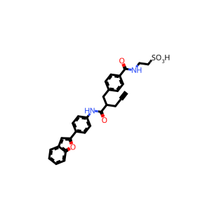 C#CCC(Cc1ccc(C(=O)NCCS(=O)(=O)O)cc1)C(=O)Nc1ccc(-c2cc3ccccc3o2)cc1